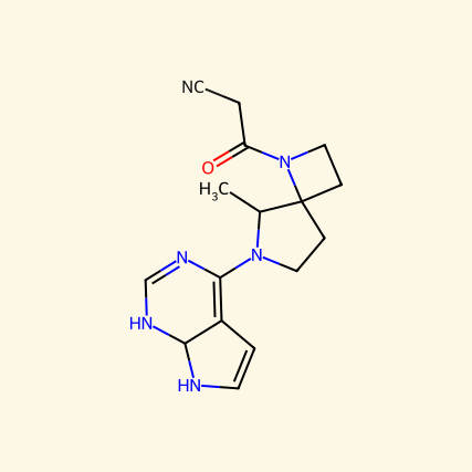 CC1N(C2=C3C=CNC3NC=N2)CCC12CCN2C(=O)CC#N